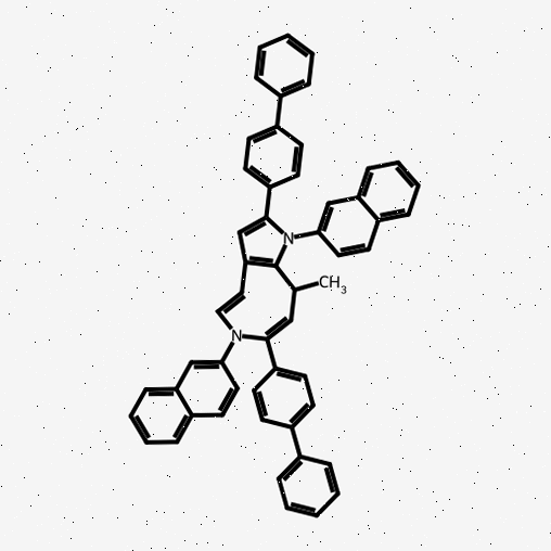 CC1/C=C(/c2ccc(-c3ccccc3)cc2)N(c2ccc3ccccc3c2)/C=C/c2cc(-c3ccc(-c4ccccc4)cc3)n(-c3ccc4ccccc4c3)c21